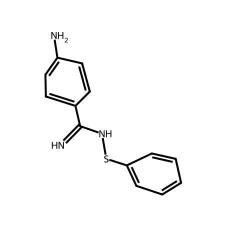 N=C(NSc1ccccc1)c1ccc(N)cc1